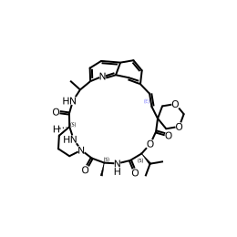 CC1NC(=O)[C@@H]2CCCN(N2)C(=O)[C@H](C)NC(=O)[C@H](C(C)C)OC(=O)C2(/C=C/c3ccc4ccc1nc4c3)COCOC2